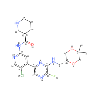 CC1(C)CO[C@H](CNc2nc(-c3cc(NC(=O)[C@@H]4CCCNC4)ncc3Cl)cnc2F)CO1